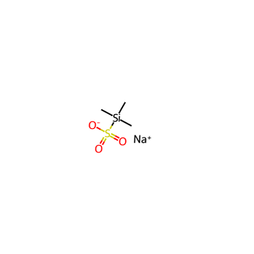 C[Si](C)(C)S(=O)(=O)[O-].[Na+]